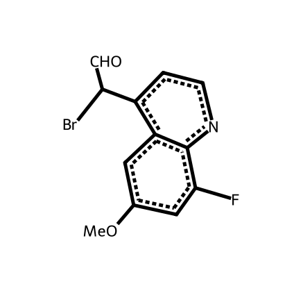 COc1cc(F)c2nccc(C(Br)C=O)c2c1